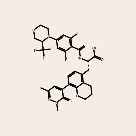 Cc1cc(-c2ccc(C[C@H](NC(=O)c3c(F)cc(N4CCOC[C@@H]4C(F)(F)F)cc3F)C(=O)O)c3c2OCCC3)c(=O)n(C)n1